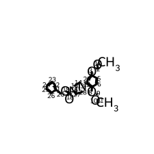 COCOc1ccc(OCOC)c(N2CCN(C(=O)OCc3ccccc3)CC2)c1